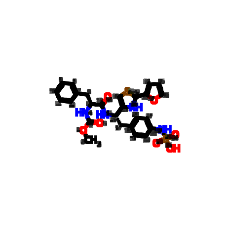 COC(=O)N[C@@H](Cc1ccccc1)C(=O)N[C@@H](Cc1ccc(NS(=O)(=O)O)cc1)C1=CSC(c2ccco2)N1